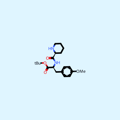 COc1ccc(C[C@H](NC(=O)[C@@H]2CCCCN2)C(=O)OC(C)(C)C)cc1